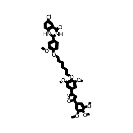 COc1cc(C2NC(=O)c3cc(Cl)ccc3N2)ccc1OCCCCCCOc1c(OC)cc(-c2cc(-c3cc(OC)c(OC)c(OC)c3)on2)cc1OC